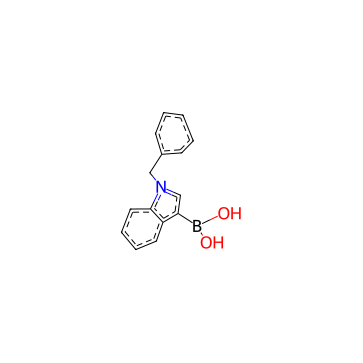 OB(O)c1cn(Cc2ccccc2)c2ccccc12